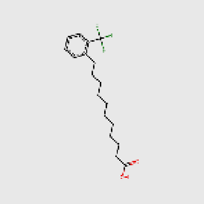 O=C(O)CCCCCCCCCCc1ccccc1C(F)(F)F